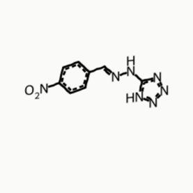 O=[N+]([O-])c1ccc(/C=N/Nc2nnn[nH]2)cc1